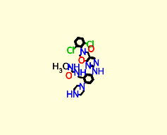 CNC(=O)NCc1cc(Nc2ncc3c(n2)OCN(c2c(Cl)cccc2Cl)C3=O)ccc1N1CCNCC1